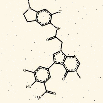 CN1CCc2cc(NC(=O)Cn3cc(-c4cc(Cl)c(O)c(C(N)=O)c4)c4c(=O)n(C)cnc43)c(Cl)cc21